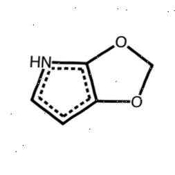 c1cc2c([nH]1)OCO2